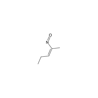 CCC=C(C)N=O